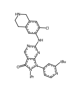 CC(C)n1c(=O)c2cnc(Nc3cc4c(cc3Cl)CNCC4)nc2n1-c1ccnc(C(C)(C)C)c1